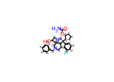 NC(=O)O[C@H]1CCC[C@@H]1[C@](CN1CC(O)C1)(c1cccc(F)c1)C1CCN(Cc2ccccc2)CC1